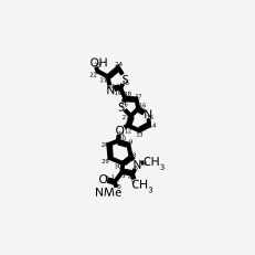 CNC(=O)c1c(C)n(C)c2cc(Oc3ccnc4cc(-c5nc(CO)cs5)sc34)ccc12